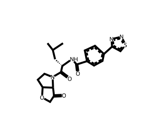 CC(C)C[C@H](NC(=O)c1ccc(-c2csnn2)cc1)C(=O)N1CCC2OCC(=O)C21